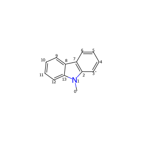 Cn1c2[c]cccc2c2ccccc21